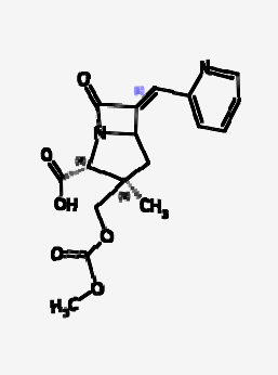 COC(=O)OC[C@]1(C)CC2/C(=C\c3ccccn3)C(=O)N2[C@H]1C(=O)O